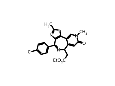 CCOC(=O)CC1N=C(c2ccc(Cl)cc2)c2nc(C)sc2-c2cn(C)c(=O)cc21